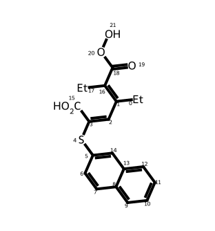 CCC(C=C(Sc1ccc2ccccc2c1)C(=O)O)=C(CC)C(=O)OO